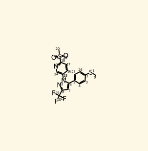 CSc1ccc(-c2cc(C(F)(F)F)nn2-c2ccc(S(C)(=O)=O)nc2)cc1